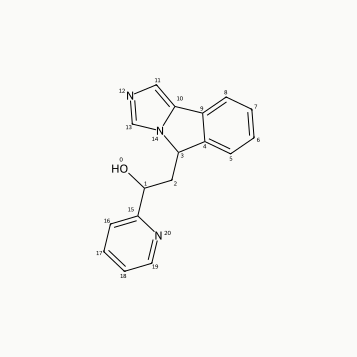 OC(CC1c2ccccc2-c2cncn21)c1ccccn1